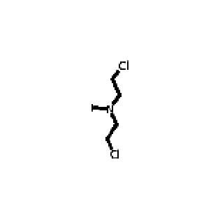 ClCCN(I)CCCl